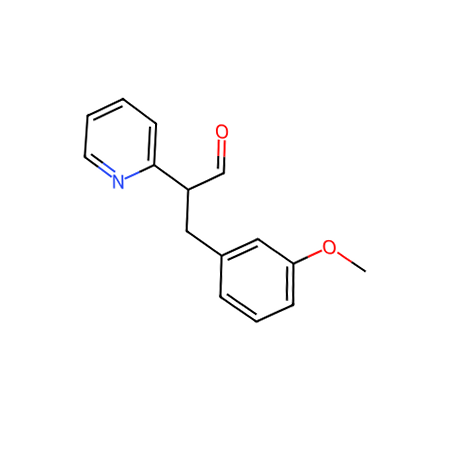 COc1cccc(CC(C=O)c2ccccn2)c1